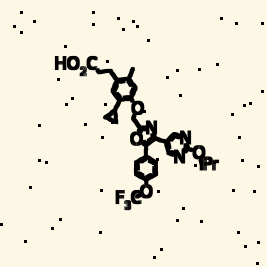 Cc1cc(OCc2nc(-c3cnc(OC(C)C)nc3)c(-c3ccc(OC(F)(F)F)cc3)o2)c(C2CC2)cc1CCC(=O)O